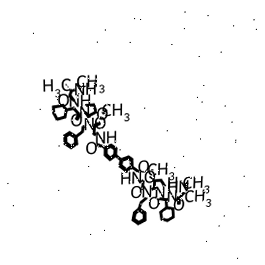 CN[C@@H](C)C(=O)N[C@H](C(=O)N1CC[C@H](OC)C1N(CCc1ccccc1)C(=O)CNC(=O)c1ccc(-c2ccc(C(=O)NCC(=O)N(CCc3ccccc3)C3[C@@H](OC)CCN3C(=O)[C@@H](NC(=O)[C@H](C)NC)C3CCCCC3)cc2)cc1)C1CCCCC1